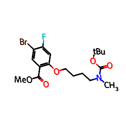 COC(=O)c1cc(Br)c(F)cc1OCCCCN(C)C(=O)OC(C)(C)C